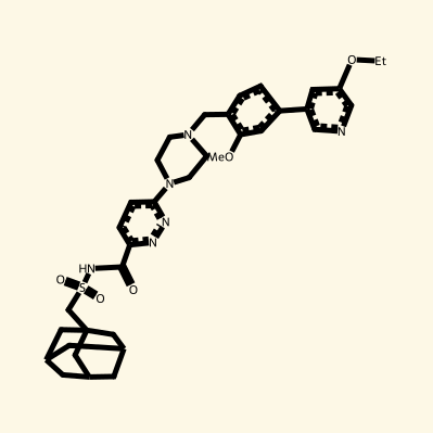 CCOc1cncc(-c2ccc(CN3CCN(c4ccc(C(=O)NS(=O)(=O)CC56CC7CC(CC(C7)C5)C6)nn4)CC3)c(OC)c2)c1